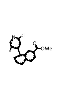 COC(=O)c1ccc2cccc(-c3cc(Cl)ncc3F)c2c1